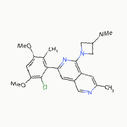 CNC1CN(c2nc(-c3c(C)c(OC)cc(OC)c3Cl)cc3cnc(C)cc23)C1